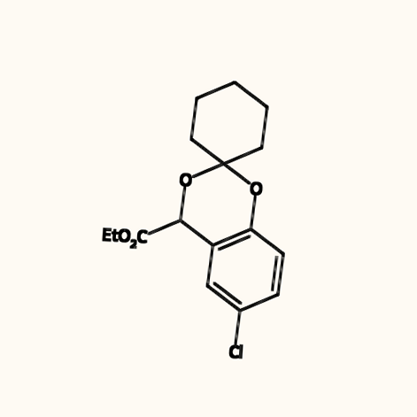 CCOC(=O)C1OC2(CCCCC2)Oc2ccc(Cl)cc21